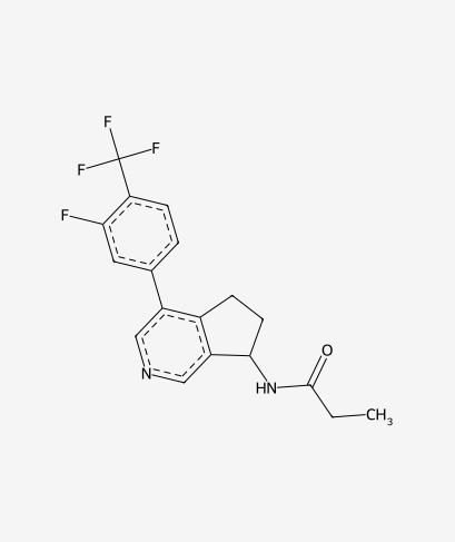 CCC(=O)NC1CCc2c(-c3ccc(C(F)(F)F)c(F)c3)cncc21